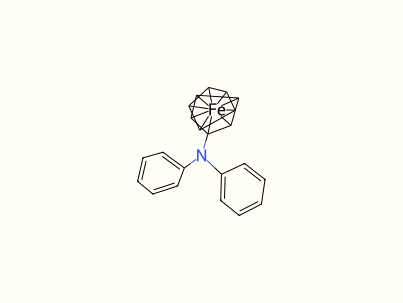 c1ccc(N(c2ccccc2)[C]23[CH]4[CH]5[CH]6[CH]2[Fe]56432789[CH]3[CH]2[CH]7[CH]8[CH]39)cc1